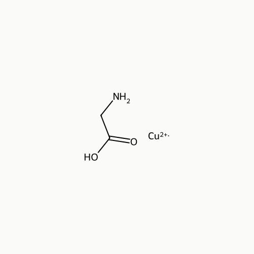 NCC(=O)O.[Cu+2]